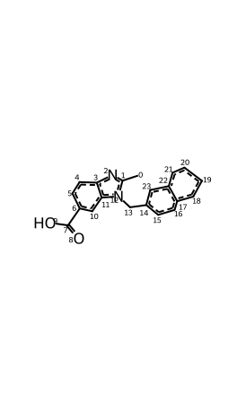 Cc1nc2ccc(C(=O)O)cc2n1Cc1ccc2ccccc2c1